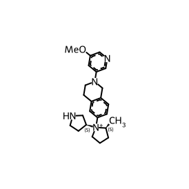 COc1cncc(N2CCc3cc([N+]4([C@H]5CCNC5)CCC[C@@H]4C)ccc3C2)c1